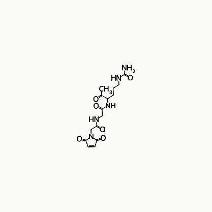 CC(=O)C(CCCNC(N)=O)NC(=O)CNC(=O)CN1C(=O)C=CC1=O